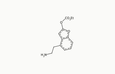 CCOC(=O)Oc1cc2c(CCN)cccc2o1